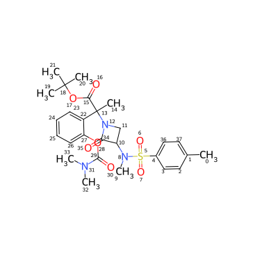 Cc1ccc(S(=O)(=O)N(C)C2CN(C(C)(C(=O)OC(C)(C)C)c3ccccc3OC(=O)N(C)C)C2=O)cc1